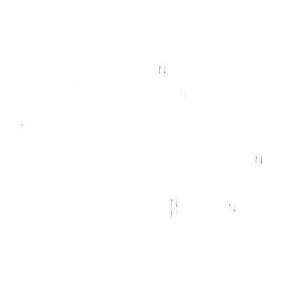 Fc1cccc(-c2cnoc2-c2c[nH]c3ncncc23)c1F